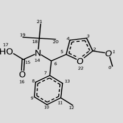 COc1ccc(C(c2cccc(C)c2)N(C(=O)O)C(C)(C)C)o1